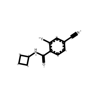 N#Cc1ccc(C(=O)NC2CCC2)c(F)c1